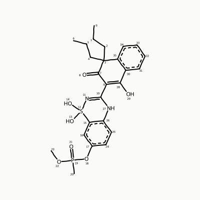 CCCC1(CCC)C(=O)C(C2=NS(O)(O)c3cc(OP(C)(=O)OC)ccc3N2)=C(O)c2ccccc21